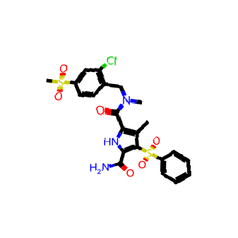 Cc1c(C(=O)N(C)Cc2ccc(S(C)(=O)=O)cc2Cl)[nH]c(C(N)=O)c1S(=O)(=O)c1ccccc1